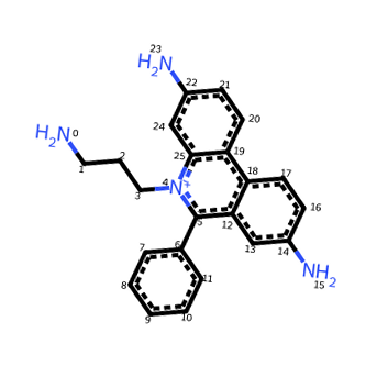 NCCC[n+]1c(-c2ccccc2)c2cc(N)ccc2c2ccc(N)cc21